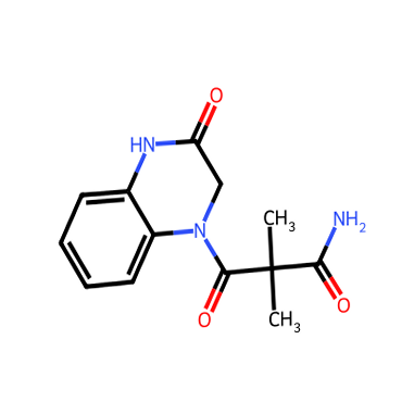 CC(C)(C(N)=O)C(=O)N1CC(=O)Nc2ccccc21